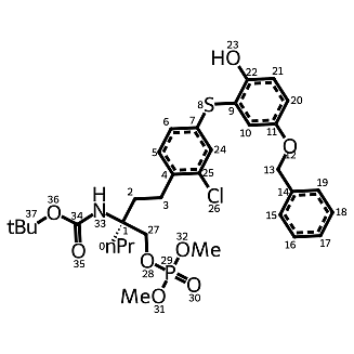 CCC[C@](CCc1ccc(Sc2cc(OCc3ccccc3)ccc2O)cc1Cl)(COP(=O)(OC)OC)NC(=O)OC(C)(C)C